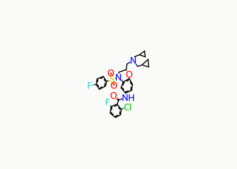 O=C(Nc1ccc2c(c1)N(S(=O)(=O)c1ccc(F)cc1)CC(CN(CC1CC1)CC1CC1)O2)c1c(F)cccc1Cl